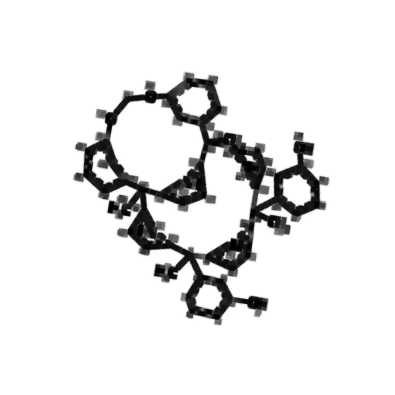 CC1(c2cccc(O)c2)c2ccc([nH]2)C(C)(c2cccc(O)c2)c2ccc([nH]2)C2(C)c3cccc(c3)OCOc3cccc(c3)C(C)(c3ccc1[nH]3)c1ccc2[nH]1